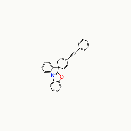 C(#Cc1ccccc1)C1=CCC(c2ccccc2)(c2nc3ccccc3o2)C=C1